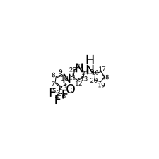 O=c1c(C(F)(F)F)cccn1-c1ccc(NC2CCCC2)nc1